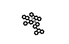 c1ccc(-c2ccc(N(c3cccc4c(-c5cc6ccccc6c6ccccc56)cccc34)c3c4ccccc4cc4c3sc3ccccc34)cc2-c2ccc3ccccc3c2)cc1